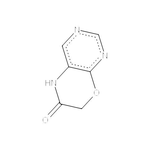 O=C1COc2ncn[c]c2N1